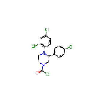 O=C(Cl)N1CCN(c2ccc(Cl)cc2Cl)C(c2ccc(Cl)cc2)C1